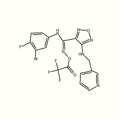 O=C(ON=C(Nc1ccc(F)c(Br)c1)c1nonc1NCc1cccnc1)C(F)(F)F